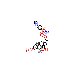 CC[C@H]1[C@@H](O)[C@@H]2[C@H](CC[C@]3(C)[C@@H]([C@H](C)COC(=O)NS(=O)(=O)c4ccc(N5CCC5)cc4)CC[C@@H]23)[C@@]2(C)CC[C@@H](O)C[C@@H]12